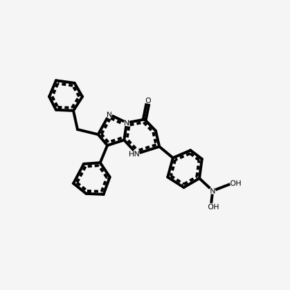 O=c1cc(-c2ccc(N(O)O)cc2)[nH]c2c(-c3ccccc3)c(Cc3ccccc3)nn12